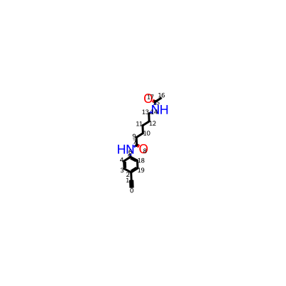 C#Cc1ccc(NC(=O)CCCCCNC(C)=O)cc1